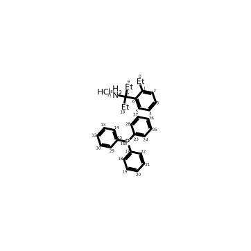 CCc1ccccc1C(N)(CC)CC.Cl.c1ccc(P(c2ccccc2)c2ccccc2)cc1